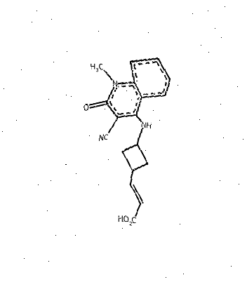 Cn1c(=O)c(C#N)c(NC2CC(/C=C/C(=O)O)C2)c2ccccc21